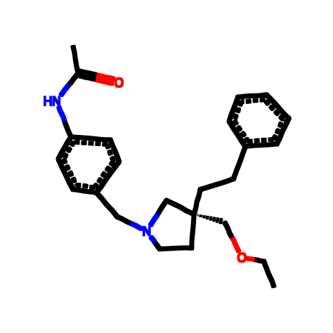 CCOC[C@]1(CCc2ccccc2)CCN(Cc2ccc(NC(C)=O)cc2)C1